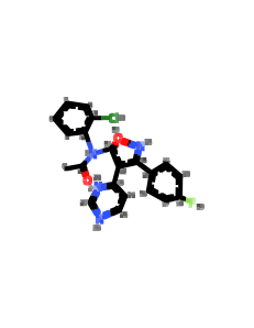 CC(=O)N(c1ccccc1Cl)c1onc(-c2ccc(F)cc2)c1-c1ccncn1